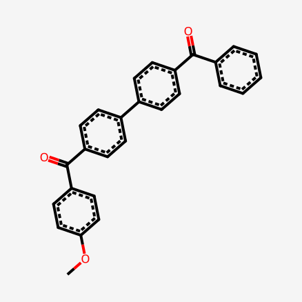 COc1ccc(C(=O)c2ccc(-c3ccc(C(=O)c4ccccc4)cc3)cc2)cc1